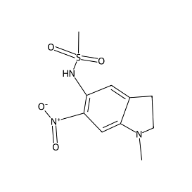 CN1CCc2cc(NS(C)(=O)=O)c([N+](=O)[O-])cc21